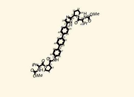 COC(=O)NC(C(=O)N1CCCC1C(=O)Nc1ccc(-c2ccc(-c3ccc(-c4cnc(C5CCCN5C(=O)C(NC(=O)OC)C(C)C)[nH]4)cc3)cc2)cc1)C(C)C